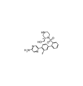 Nc1cnc(-c2ccc(-c3ccccc3S(=O)(=O)N3CCNC[C@@H]3CO)cc2F)cn1